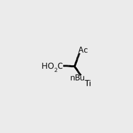 CCCCC(C(C)=O)C(=O)O.[Ti]